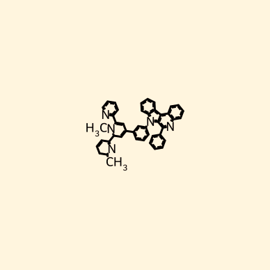 CC1CC=CC(C2C=C(c3cccc(-n4c5ccccc5c5c6ccccc6nc(-c6ccccc6)c54)c3)C=C(c3ccccn3)N2C)=N1